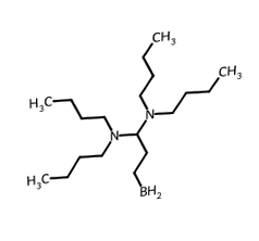 BCCC(N(CCCC)CCCC)N(CCCC)CCCC